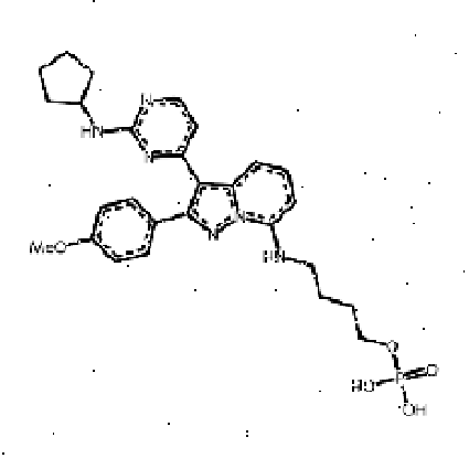 COc1ccc(-c2nn3c(NCCCCOP(=O)(O)O)cccc3c2-c2ccnc(NC3CCCC3)n2)cc1